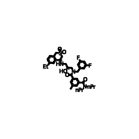 CCCN(CCC)C(=O)c1cc(C)cc(C(=O)N(Cc2cc(F)cc(F)c2)C[C@H](O)CN[C@H]2CS(=O)(=O)Cc3ccc(CC)cc32)c1